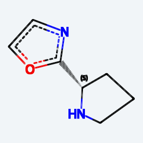 c1coc([C@@H]2CCCN2)n1